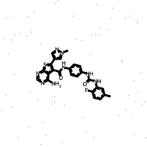 Cc1ccc(F)c(NC(=O)Nc2ccc(NC(=O)c3c(-c4cnn(C)c4)sc4ncnc(N)c34)cc2)c1